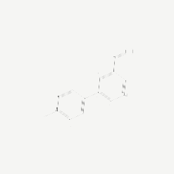 O=[C]c1cccc(-c2ccc(I)cc2)c1